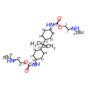 CC(C)(C)NCCOC(=O)NC1CCC(C(C)(C)C2CCC(NC(=O)OCCNC(C)(C)C)CC2)CC1